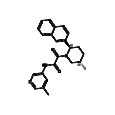 Cc1cncc(NC(=O)C(=O)N2C[C@@H](C)CC[C@@H]2c2ccc3ccccc3c2)c1